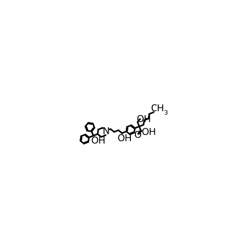 CCCCCCC(CO)(C(=O)O)c1ccc(C(O)CCCN2CCC(C(O)(c3ccccc3)c3ccccc3)CC2)cc1